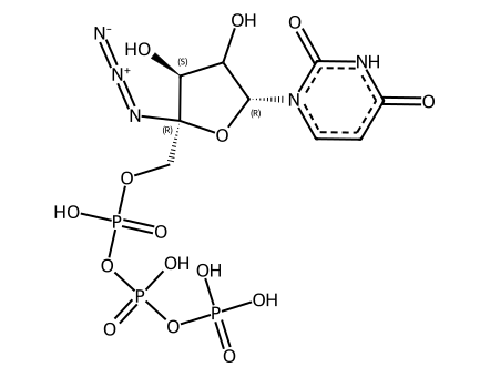 [N-]=[N+]=N[C@]1(COP(=O)(O)OP(=O)(O)OP(=O)(O)O)O[C@@H](n2ccc(=O)[nH]c2=O)C(O)[C@@H]1O